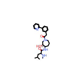 CNC(CC(C)C)C(=O)NC1CCCN(C(=O)Cc2cccc(-c3ccccn3)c2)C[C@@H]1O